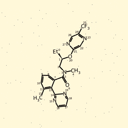 CC[C@H](CN(C)C(=O)c1cccc(C)c1-c1ncccn1)Oc1cnc(C(F)(F)F)cn1